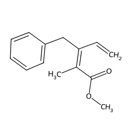 C=CC(Cc1ccccc1)=C(C)C(=O)OC